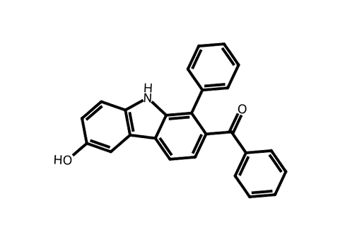 O=C(c1ccccc1)c1ccc2c([nH]c3ccc(O)cc32)c1-c1ccccc1